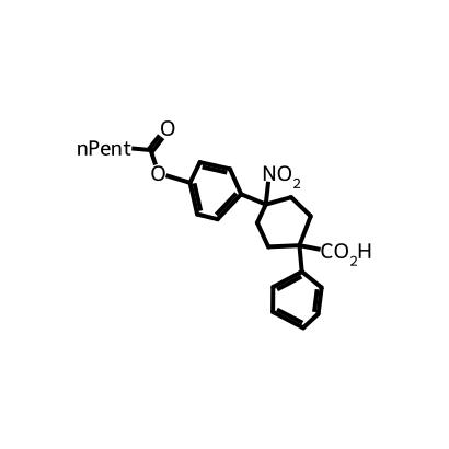 CCCCCC(=O)Oc1ccc(C2([N+](=O)[O-])CCC(C(=O)O)(c3ccccc3)CC2)cc1